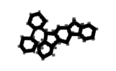 c1ccc(-c2ccccc2-n2c3ccccc3c3cc4c(cc32)oc2ccccc24)cc1